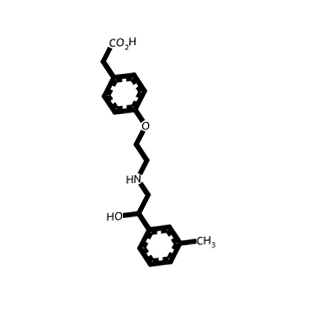 Cc1cccc(C(O)CNCCOc2ccc(CC(=O)O)cc2)c1